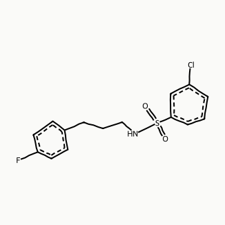 O=S(=O)(NCCCc1ccc(F)cc1)c1cccc(Cl)c1